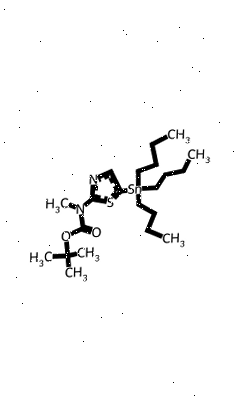 CCC[CH2][Sn]([CH2]CCC)([CH2]CCC)[c]1cnc(N(C)C(=O)OC(C)(C)C)s1